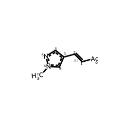 CC(=O)/C=C/c1cnn(C)c1